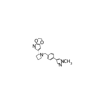 Cn1cc(-c2ccc(CN3CCC[C@@H]3c3cnc4c(c3)OCCO4)cc2)cn1